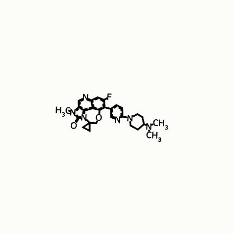 CN(C)C1CCN(c2ccc(-c3c(F)cc4ncc5c6c4c3OCC3(CC3)n6c(=O)n5C)cn2)CC1